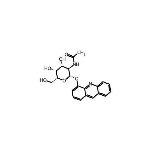 CC(=O)N[C@H]1[C@H](Oc2cccc3cc4ccccc4nc23)O[C@H](CO)[C@H](O)[C@@H]1O